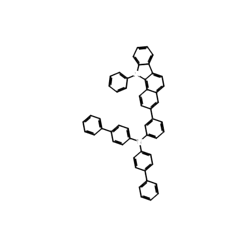 c1ccc(-c2ccc(N(c3ccc(-c4ccccc4)cc3)c3cccc(-c4ccc5c(ccc6c7ccccc7n(-c7ccccc7)c56)c4)c3)cc2)cc1